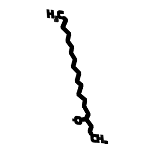 CCCCCCCCCCCCCCCCC([O])CCC